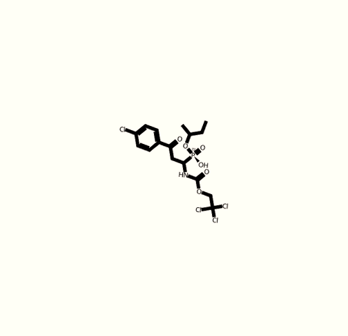 CCC(C)O[P@@](=O)(O)C(CC(=O)c1ccc(Cl)cc1)NC(=O)OCC(Cl)(Cl)Cl